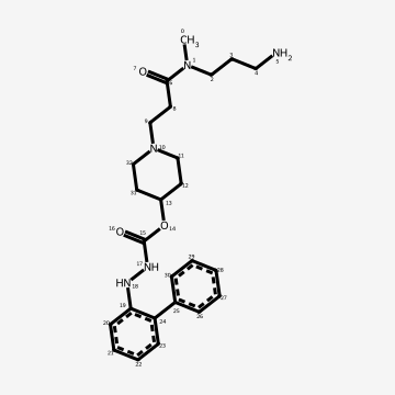 CN(CCCN)C(=O)CCN1CCC(OC(=O)NNc2ccccc2-c2ccccc2)CC1